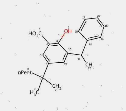 CCCCCC(C)(C)c1cc(C(=O)O)c(O)c(C(C)c2ccccc2)c1